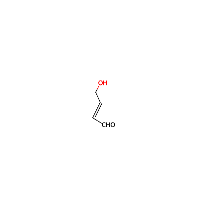 O=CC=CCO